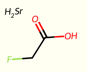 O=C(O)CF.[SrH2]